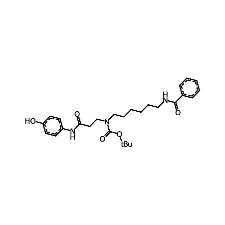 CC(C)(C)OC(=O)N(CCCCCCNC(=O)c1ccccc1)CCC(=O)Nc1ccc(O)cc1